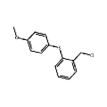 COc1ccc(Sc2ccccc2CCl)cc1